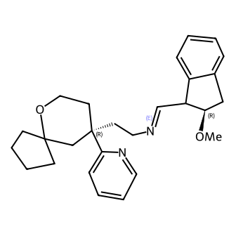 CO[C@@H]1Cc2ccccc2C1/C=N/CC[C@@]1(c2ccccn2)CCOC2(CCCC2)C1